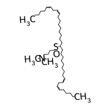 CCCCC/C=C\C/C=C\CCCCCCCCC(CCCCCCCC/C=C\C/C=C\CCCCC)SC(=O)CCCN(C)C